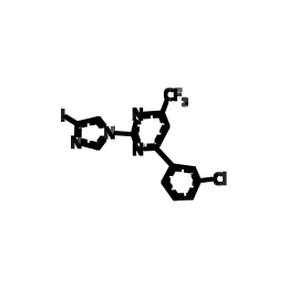 FC(F)(F)c1cc(-c2cccc(Cl)c2)nc(-n2cnc(I)c2)n1